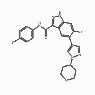 O=C(Nc1ccc(F)cc1)c1n[nH]c2cc(F)c(-c3cnn(C4CCNCC4)c3)cc12